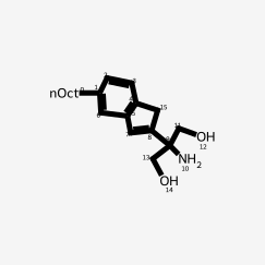 CCCCCCCCc1ccc2c(c1)C=C(C(N)(CO)CO)C2